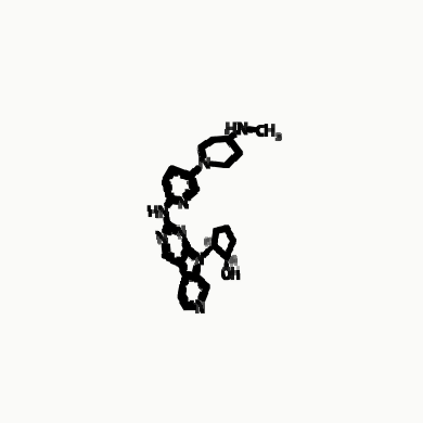 CNC1CCN(c2ccc(Nc3ncc4c5ccncc5n([C@H]5CCC[C@H]5O)c4n3)nc2)CC1